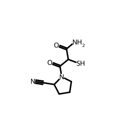 N#CC1CCCN1C(=O)C(S)C(N)=O